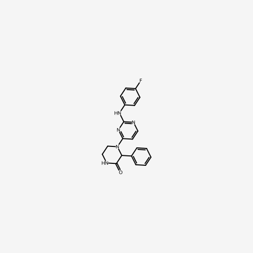 O=C1NCCN(c2ccnc(Nc3ccc(F)cc3)n2)C1c1ccccc1